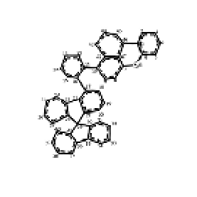 c1ccc2c(c1)Sc1ccc(-c3ccccc3-c3cccc4c3-c3ccccc3C43c4ccccc4-c4ccccc43)c3cccc-2c13